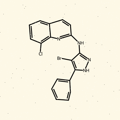 Clc1cccc2ccc(Nc3n[nH]c(-c4ccccc4)c3Br)nc12